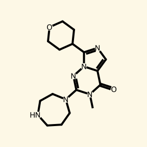 Cn1c(N2CCCNCC2)nn2c(C3CCOCC3)ncc2c1=O